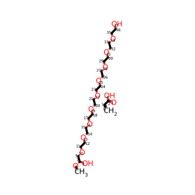 C=CC(=O)O.COC(O)COCCOCCOCCOCCOCCOCCOCCOCCOCCO